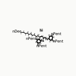 CCCCCCCCCCCCCCCCCCCCC=CC(C=Nc1cc(CCCCC)cc(CCCCC)c1)=Nc1cc(CCCCC)cc(CCCCC)c1.[Ni]